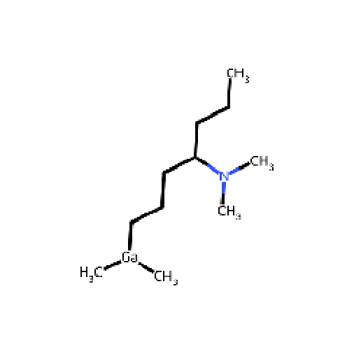 CCCC(CC[CH2][Ga]([CH3])[CH3])N(C)C